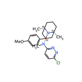 COc1ccc(CN2[C@@]3(C)CCC[C@]2(C)C[C@@H](N(C)c2ccc(Cl)nn2)C3)cc1